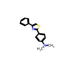 CN(C)c1ccc(-c2nc(-c3ccccc3)cs2)cc1